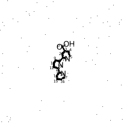 O=C(O)c1ccnc(-c2cccc(-c3ccccn3)n2)c1